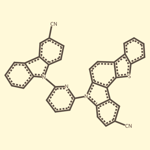 N#Cc1ccc2c(c1)c1ccccc1n2-c1cccc(-n2c3ccc(C#N)cc3c3c4sc5ccccc5c4ccc32)n1